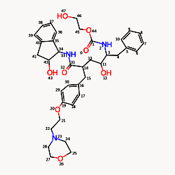 O=C(NC(Cc1ccccc1)C(O)CC(Cc1ccc(OCCN2CCOCC2)cc1)C(=O)NC1c2ccccc2CC1O)OCCO